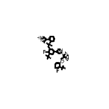 Cn1cnc(-n2cc(-c3cc(CC(C)(C)c4ccccc4-c4cn[nH]c4)c(F)c(C(C)(C)C)c3)cn2)c1COc1cccc(F)c1C(C)(C)C